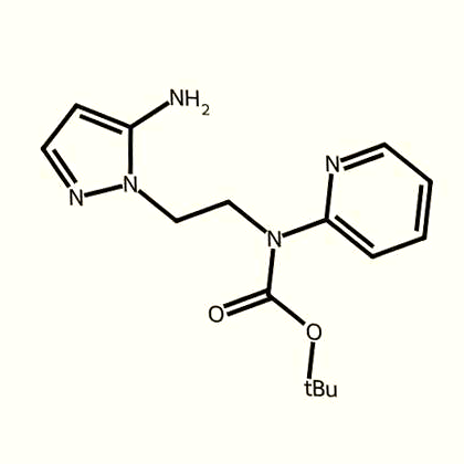 CC(C)(C)OC(=O)N(CCn1nccc1N)c1ccccn1